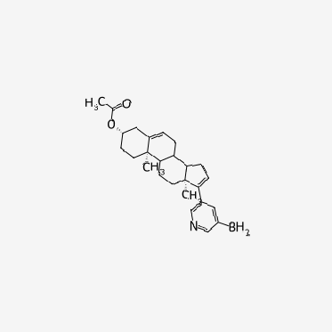 Bc1cncc(C2=CCC3C4CC=C5C[C@@H](OC(C)=O)CC[C@]5(C)C4CC[C@]23C)c1